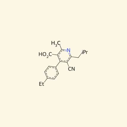 CCc1ccc(-c2c(C#N)c(CC(C)C)nc(C)c2C(=O)O)cc1